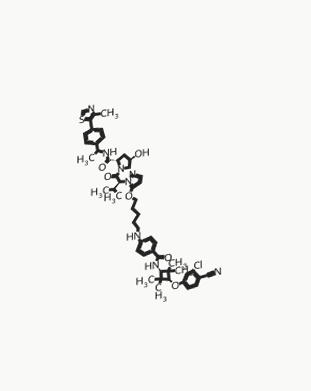 Cc1ncsc1-c1ccc(C(C)NC(=O)[C@@H]2C[C@@H](O)CN2C(=O)[C@H](C(C)C)n2nccc2OCCCCCNc2ccc(C(=O)N[C@H]3C(C)(C)[C@H](Oc4ccc(C#N)c(Cl)c4)C3(C)C)cc2)cc1